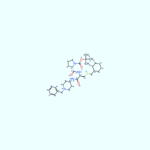 CC(C)(C)OC(=O)N1CCC[C@H]1C(=O)N[C@@H](CSCC1CCCCC1)C(=O)NC1CCN(Cc2ccccc2)CC1